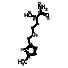 Cc1ccc(COCCN(O)C(N)=O)s1